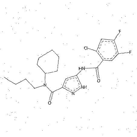 CCCCN(C(=O)c1cc(NC(=O)c2cc(F)c(F)cc2Cl)[nH]n1)C1CCCCC1